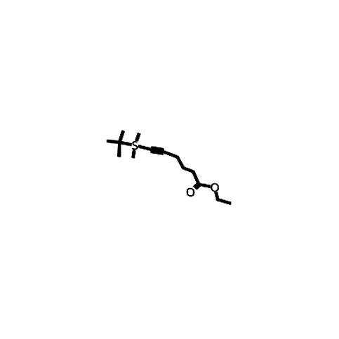 CCOC(=O)CCCC#CS(C)(C)C(C)(C)C